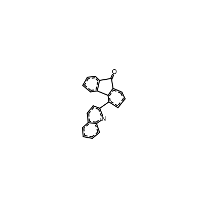 O=C1c2ccccc2-c2c1cccc2-c1ccc2ccccc2n1